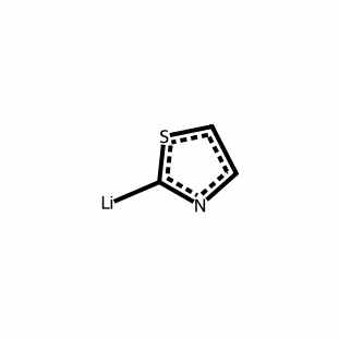 [Li][c]1nccs1